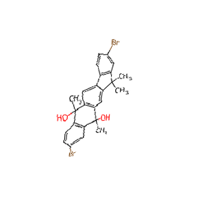 CC1(C)c2cc(Br)ccc2-c2cc3c(cc21)C(C)(O)c1cc(Br)ccc1C3(C)O